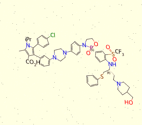 Cc1c(C(=O)O)c(-c2cccc(N3CCN(c4ccc(N5CCO[P@@]5(=O)c5ccc(N[C@H](CCN6CCC(CO)CC6)CSc6ccccc6)c(S(=O)(=O)C(F)(F)F)c5)cc4)CC3)c2)c(-c2ccc(Cl)cc2)n1C(C)C